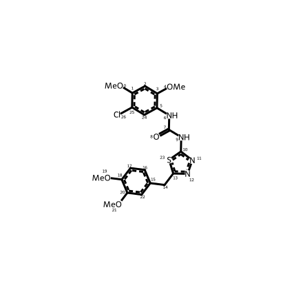 COc1cc(OC)c(NC(=O)Nc2nnc(Cc3ccc(OC)c(OC)c3)s2)cc1Cl